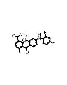 Cc1ccc(C(N)=O)cc1C(=O)c1ccc(Nc2ccc(F)cc2F)cc1Cl